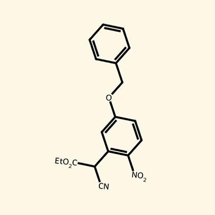 CCOC(=O)C(C#N)c1cc(OCc2ccccc2)ccc1[N+](=O)[O-]